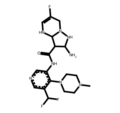 CN1CCN(c2c(NC(=O)C3C(N)NN4CC(F)=CNC34)cncc2C(F)F)CC1